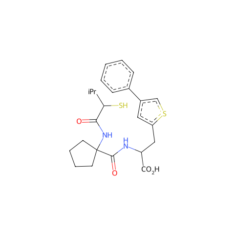 CC(C)C(S)C(=O)NC1(C(=O)NC(Cc2cc(-c3ccccc3)cs2)C(=O)O)CCCC1